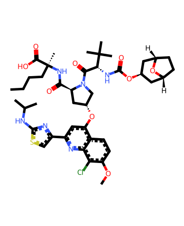 CCCC[C@](C)(NC(=O)[C@@H]1C[C@@H](Oc2cc(-c3csc(NC(C)C)n3)nc3c(Cl)c(OC)ccc23)CN1C(=O)[C@@H](NC(=O)O[C@@H]1C[C@H]2CC[C@@H](C1)O2)C(C)(C)C)C(=O)O